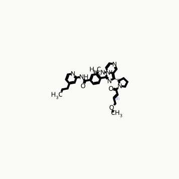 CCCc1ccnc(NC(=O)c2ccc(C3=NC([C@@H]4CCCN4C(=O)/C=C/COC)=C4C=NC=C[N+]34N)c(C)c2)c1